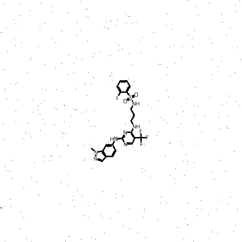 Cn1ncc2ccc(Nc3ncc(C(F)(F)F)c(NCCCNS(=O)(=O)c4ccccc4F)n3)cc21